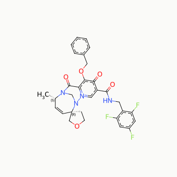 C[C@H]1C=C[C@@]2(CCOC2)N2CN1C(=O)c1c(OCc3ccccc3)c(=O)c(C(=O)NCc3c(F)cc(F)cc3F)cn12